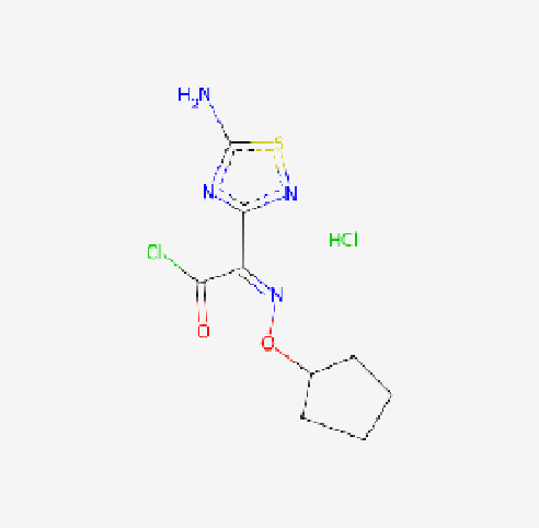 Cl.Nc1nc(C(=NOC2CCCC2)C(=O)Cl)ns1